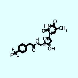 Cc1cn([C@H]2C[C@H](O)[C@@H](CNC(=O)Cc3ccc(C(F)(F)F)cc3)O2)c(=O)[nH]c1=O